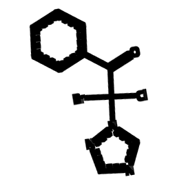 O=C(c1ccccc1)C(Cl)(Br)n1cncn1